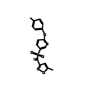 Cc1ccc(Oc2ccc(S(=O)(=O)Nc3cc(C)on3)cn2)cc1